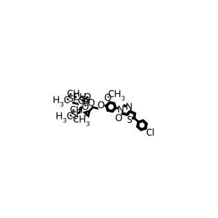 COc1cc(-n2cnc3cc(-c4ccc(Cl)cc4)sc3c2=O)ccc1OCC(OP(=O)(OCC[Si](C)(C)C)OCC[Si](C)(C)C)C1CC1